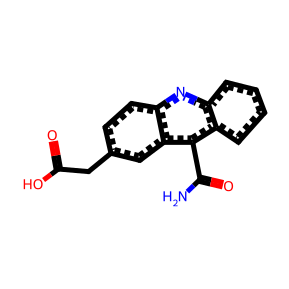 NC(=O)c1c2ccccc2nc2ccc(CC(=O)O)cc12